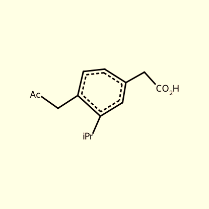 CC(=O)Cc1ccc(CC(=O)O)cc1C(C)C